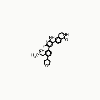 CN(C)Cc1cc(-c2cc(-c3ccc4c(c3)CCNC4=O)c(N)nc2F)ccc1C1CCOCC1